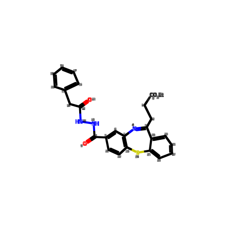 CCOC(=O)CCC1=Nc2cc(C(=O)NNC(=O)Cc3ccccc3)ccc2Sc2ccccc21